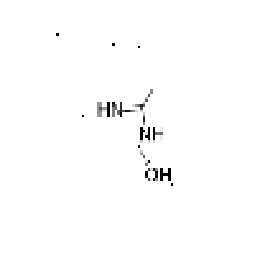 CC(=N)NCO